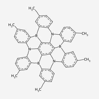 Cc1ccc2c(c1)B1c3cc(C)ccc3N3c4ccc(C)cc4B4c5cc(C)ccc5N5c6ccc(C)cc6B6c7cc(C)ccc7N2c2c1c3c4c5c26